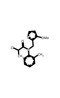 COc1ccsc1CN(C(=O)C(C)Cl)c1ccccc1C